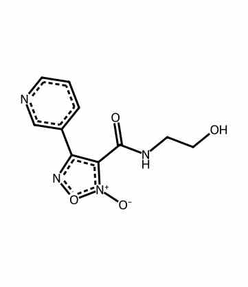 O=C(NCCO)c1c(-c2cccnc2)no[n+]1[O-]